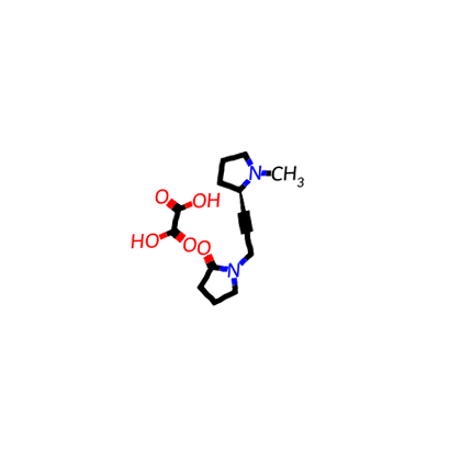 CN1CCC[C@@H]1C#CCN1CCCC1=O.O=C(O)C(=O)O